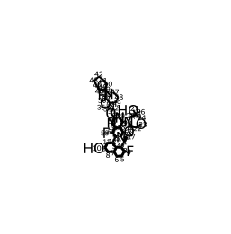 C#Cc1c(F)ccc2cc(O)cc(-c3nc(OC)c4c(N5CCOC[C@@](C)(O)C5)nc(OC[C@]56CCC[C@H]5N(C5CC7CCC(C5)O7)CCC6)nc4c3F)c12